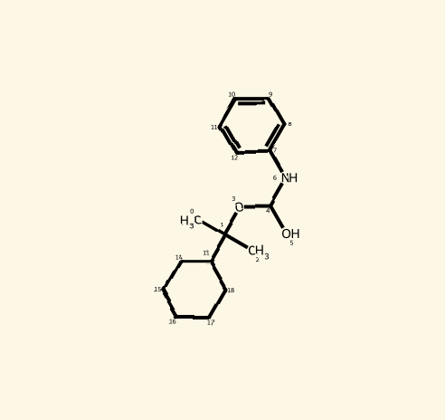 CC(C)(OC(O)Nc1ccccc1)C1CCCCC1